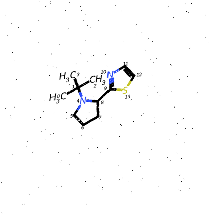 CC(C)(C)N1CCCC1c1nccs1